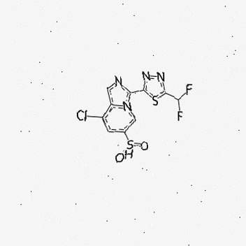 O=[SH](=O)c1cc(Cl)c2cnc(-c3nnc(C(F)F)s3)n2c1